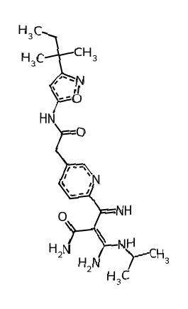 CCC(C)(C)c1cc(NC(=O)Cc2ccc(C(=N)/C(C(N)=O)=C(/N)NC(C)C)nc2)on1